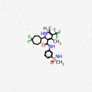 CC1=C(C(F)(F)F)C(C)=C(C(=O)Nc2cccc([S@@](C)(=N)=O)c2)C(C2CCCC(F)(F)CC2)N1